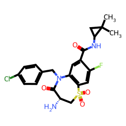 CC1(C)CC1NC(=O)c1cc2c(cc1F)S(=O)(=O)C[C@H](N)C(=O)N2Cc1ccc(Cl)cc1